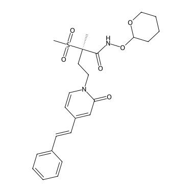 C[C@@](CCn1ccc(/C=C/c2ccccc2)cc1=O)(C(=O)NOC1CCCCO1)S(C)(=O)=O